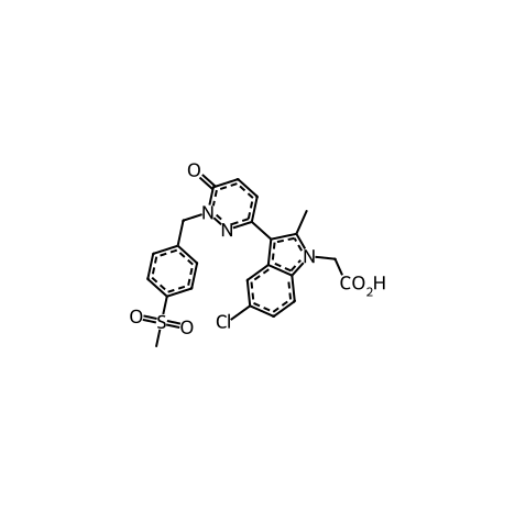 Cc1c(-c2ccc(=O)n(Cc3ccc(S(C)(=O)=O)cc3)n2)c2cc(Cl)ccc2n1CC(=O)O